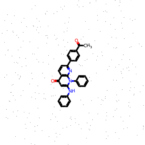 CC(=O)c1ccc(-c2ccc3c(=O)cc(Nc4ccccc4)n(-c4ccccc4)c3n2)cc1